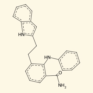 NC(=O)c1cccc(CCc2cc3ccccc3[nH]2)c1Nc1ccccc1